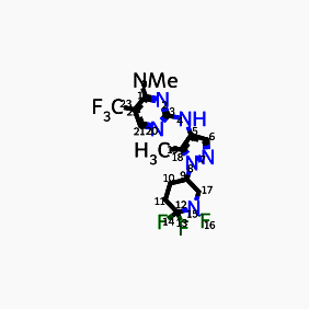 CNc1nc(Nc2cnn(C3CCC(F)(F)N(F)C3)c2C)ncc1C(F)(F)F